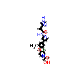 Cc1cc(-c2ccnc(NC(=O)C3CC3c3c[nH]cn3)c2)ccc1O[C@H]1CCN(C(=O)CO)C[C@H]1F